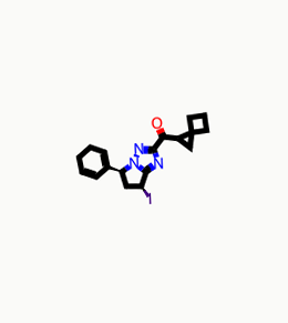 O=C(c1nc2n(n1)[C@H](C1=CCCC=C1)C[C@@H]2I)C1CC12CCC2